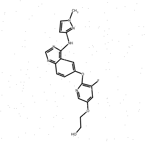 Cn1ccc(Nc2ncnc3ccc(Oc4ncc(OCCO)cc4F)cc23)n1